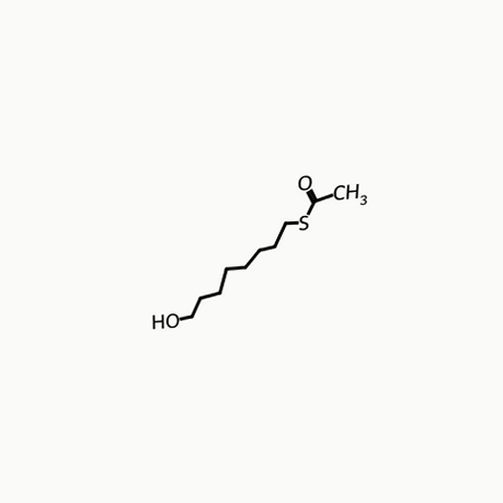 CC(=O)SCCCCCCCCO